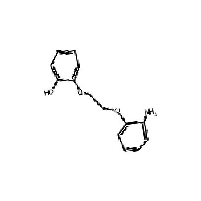 Nc1ccccc1OCCOc1ccccc1O